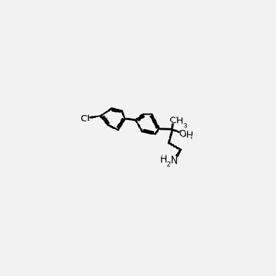 CC(O)(CCN)c1ccc(-c2ccc(Cl)cc2)cc1